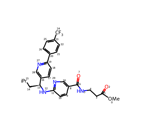 COC(=O)CCNC(=O)c1ccc(N[C@@H](CC(C)C)c2ccc(-c3ccc(C(F)(F)F)cc3)nc2)nc1